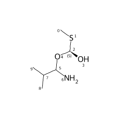 CS[C@@H](O)OC(N)C(C)C